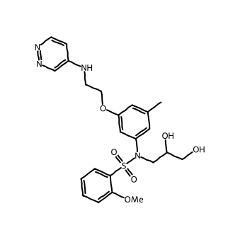 COc1ccccc1S(=O)(=O)N(CC(O)CO)c1cc(C)cc(OCCNc2ccnnc2)c1